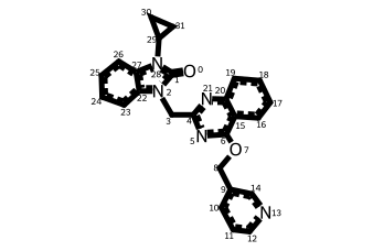 O=c1n(Cc2nc(OCc3cccnc3)c3ccccc3n2)c2ccccc2n1C1CC1